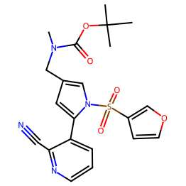 CN(Cc1cc(-c2cccnc2C#N)n(S(=O)(=O)c2ccoc2)c1)C(=O)OC(C)(C)C